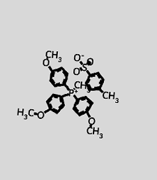 COc1ccc([P+](C)(c2ccc(OC)cc2)c2ccc(OC)cc2)cc1.Cc1ccc(S(=O)(=O)[O-])cc1